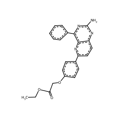 CCOC(=O)COc1ccc(-c2ccc3nc(N)nc(-c4ccccc4)c3n2)cc1